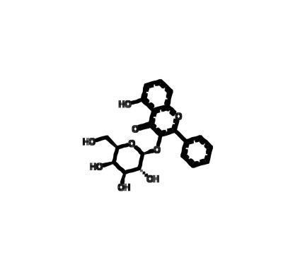 O=c1c(O[C@@H]2O[C@H](CO)[C@H](O)[C@H](O)[C@H]2O)c(-c2ccccc2)oc2cccc(O)c12